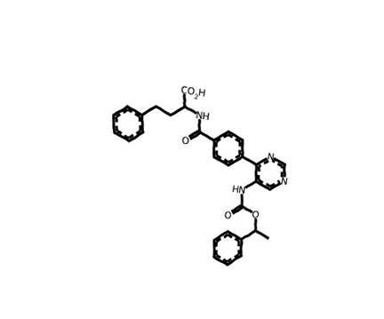 CC(OC(=O)Nc1cncnc1-c1ccc(C(=O)NC(CCc2ccccc2)C(=O)O)cc1)c1ccccc1